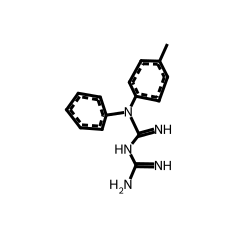 Cc1ccc(N(C(=N)NC(=N)N)c2ccccc2)cc1